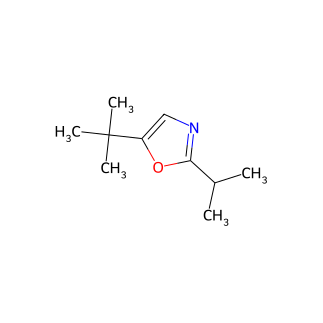 CC(C)c1ncc(C(C)(C)C)o1